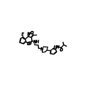 Cc1onc(-c2c(F)cccc2Cl)c1C(=O)NCCCN1CCC(c2cccc(NC(=O)C(C)C)c2)CC1